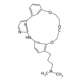 CN(C)CCCc1ccc2cc1OCCOCCOc1cccc(c1)-c1ccnc(n1)N2